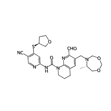 C[C@H]1COCOCN1Cc1cc2c(nc1C=O)N(C(=O)Nc1cc(S[C@H]3CCOC3)c(C#N)cn1)CCC2